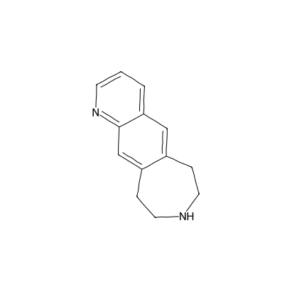 c1cnc2cc3c(cc2c1)CCNCC3